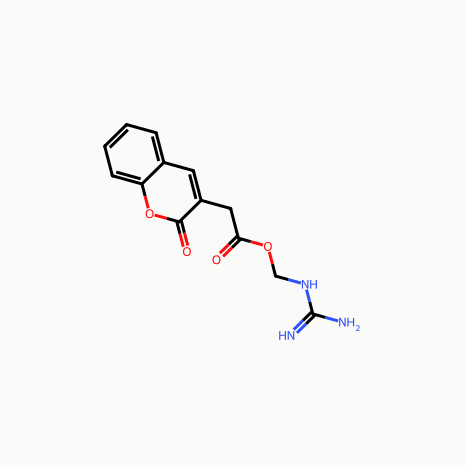 N=C(N)NCOC(=O)Cc1cc2ccccc2oc1=O